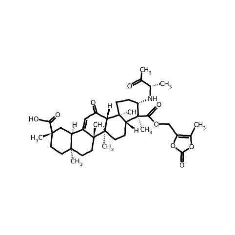 CC(=O)[C@H](C)N[C@H]1CC[C@@]2(C)[C@@H](CC[C@]3(C)[C@@H]2C(=O)C=C2[C@@H]4C[C@@](C)(C(=O)O)CC[C@]4(C)CC[C@]23C)[C@]1(C)C(=O)OCc1oc(=O)oc1C